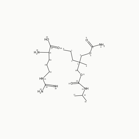 CCCC(C)(COC(N)=O)COC(=O)NC(C)C.N=C(N)NCCCC(N)C(=O)O